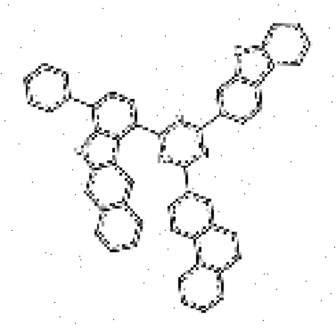 c1ccc(-c2ccc(-c3nc(-c4ccc5c(ccc6ccccc65)c4)nc(-c4ccc5c(c4)oc4ccccc45)n3)c3c2oc2cc4ccccc4cc23)cc1